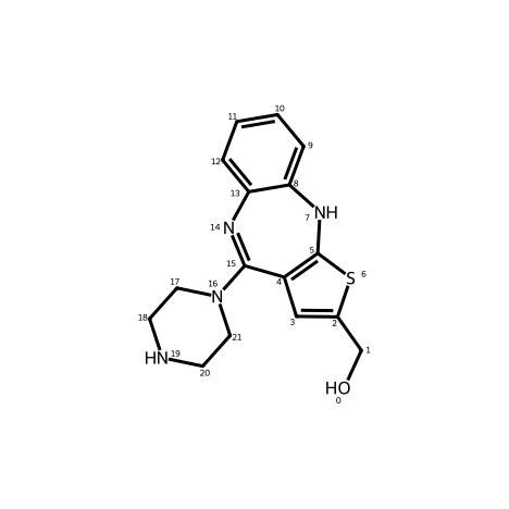 OCc1cc2c(s1)Nc1ccccc1N=C2N1CCNCC1